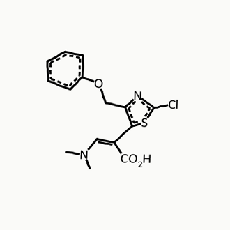 CN(C)C=C(C(=O)O)c1sc(Cl)nc1COc1ccccc1